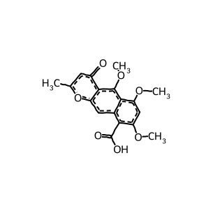 COc1cc(OC)c2c(OC)c3c(=O)cc(C)oc3cc2c1C(=O)O